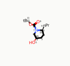 CCC[C@H]1CC[C@@H](O)CN1C(=O)OC(C)(C)C